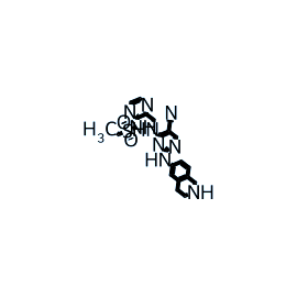 CCS(=O)(=O)Nc1nccnc1CNc1nc(Nc2ccc3c(c2)CCNC3)ncc1C#N